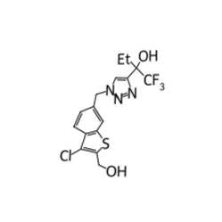 CCC(O)(c1cn(Cc2ccc3c(Cl)c(CO)sc3c2)nn1)C(F)(F)F